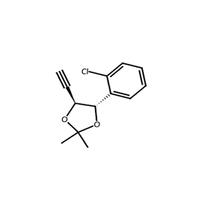 C#C[C@@H]1OC(C)(C)O[C@H]1c1ccccc1Cl